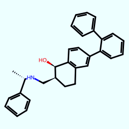 C[C@H](NC[C@@H]1CCc2cc(-c3ccccc3-c3ccccc3)ccc2[C@@H]1O)c1ccccc1